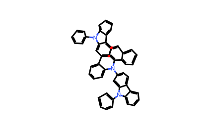 c1ccc(-n2c3ccccc3c3ccc(-c4ccccc4N(c4ccc5c6ccccc6n(-c6ccccc6)c5c4)c4cccc5ccccc45)cc32)cc1